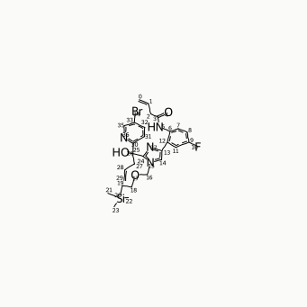 C=CCC(=O)Nc1ccc(F)cc1-c1cn(COCC[Si](C)(C)C)c(C(O)(CC=C)c2ccc(Br)cn2)n1